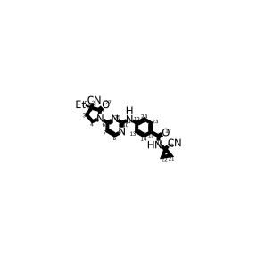 CC[C@]1(C#N)CCN(c2ccnc(Nc3ccc(C(=O)NC4(C#N)CC4)cc3)n2)C1=O